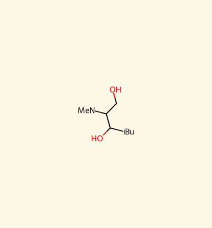 CCC(C)C(O)C(CO)NC